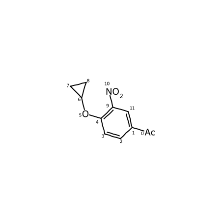 CC(=O)c1ccc(OC2CC2)c([N+](=O)[O-])c1